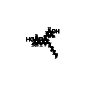 CCCCCCCCc1cc(Cc2cc(C)c(O)c(C)c2)c(O)c(Cc2cc(C)c(O)c(C)c2)c1